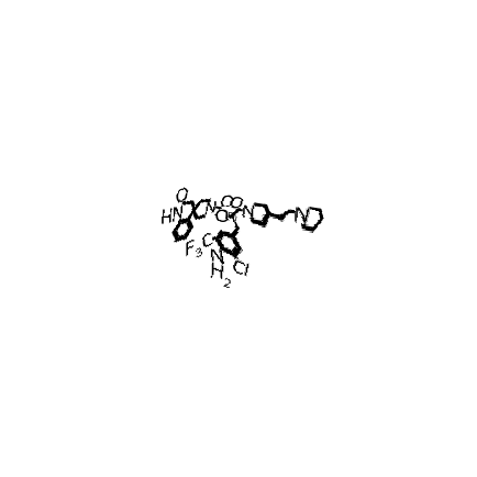 Nc1c(Cl)cc(C[C@@H](OC(=O)N2CCC3(CC2)CC(=O)Nc2ccccc23)C(=O)N2CCC(CCN3CCCCC3)CC2)cc1C(F)(F)F